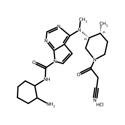 C[C@@H]1CCN(C(=O)CC#N)C[C@@H]1N(C)c1ncnc2c1ccn2C(=O)NC1CCCCC1N.Cl